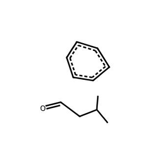 CC(C)CC=O.c1ccccc1